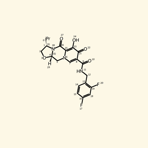 CC(C)[C@H]1CO[C@H]2Cn3cc(C(=O)NCc4ccc(F)cc4F)c(=O)c(O)c3C(=O)N21